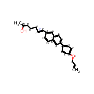 C=CCOc1ccc(-c2ccc3cc(/C=C/CCCC(C)O)ccc3c2)cc1